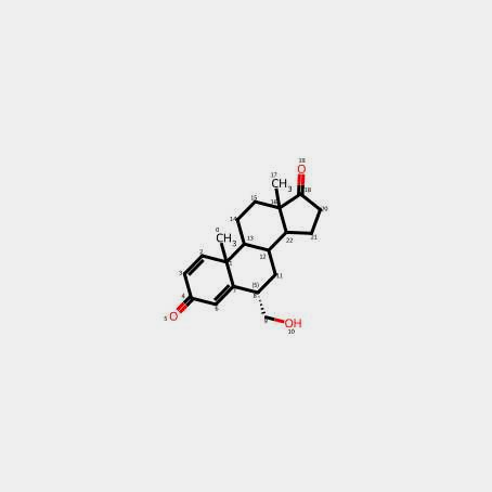 CC12C=CC(=O)C=C1[C@@H](CO)CC1C2CCC2(C)C(=O)CCC12